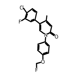 Cc1cc(=O)n(-c2ccc(OCF)cc2)cc1-c1ccc(Cl)c(F)c1